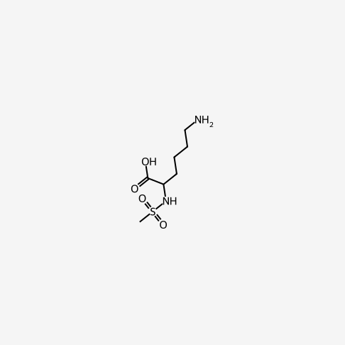 CS(=O)(=O)NC(CCCCN)C(=O)O